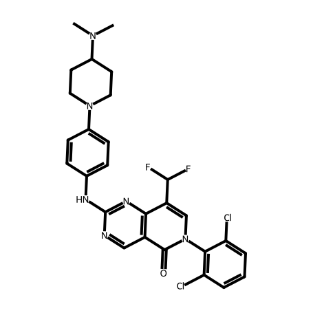 CN(C)C1CCN(c2ccc(Nc3ncc4c(=O)n(-c5c(Cl)cccc5Cl)cc(C(F)F)c4n3)cc2)CC1